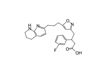 O=C(O)CC(Cc1cc(CCCc2ccc3c(n2)NCCC3)on1)c1cccc(F)c1